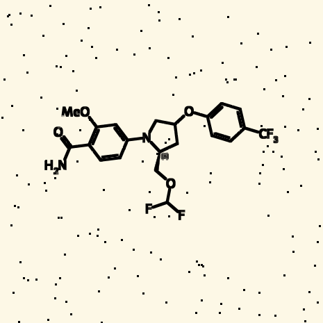 COc1cc(N2CC(Oc3ccc(C(F)(F)F)cc3)C[C@H]2COC(F)F)ccc1C(N)=O